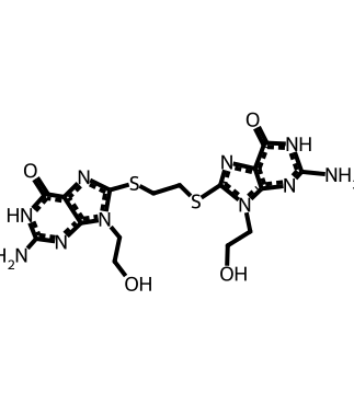 Nc1nc2c(nc(SCCSc3nc4c(=O)[nH]c(N)nc4n3CCO)n2CCO)c(=O)[nH]1